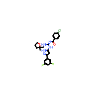 CC1(CN/C(=N/C(=O)c2ccc(Cl)cc2)Nc2cc(-c3cc(F)cc(F)c3)n[nH]2)CCCO1